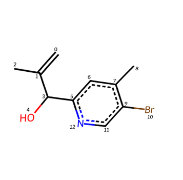 C=C(C)C(O)c1cc(C)c(Br)cn1